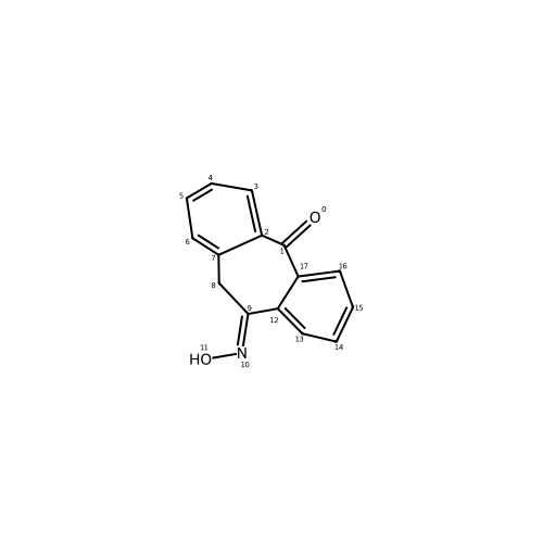 O=C1c2ccccc2C/C(=N\O)c2ccccc21